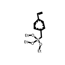 C=Cc1ccc(C[Si](OCC)(OCC)OCC)cc1